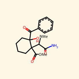 CNC(C(N)=O)C1(C(=O)OC)CCCCC1(O)C(=O)c1ccccc1